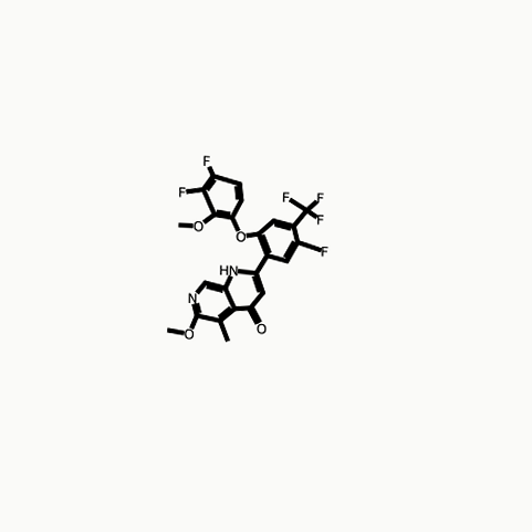 COc1ncc2[nH]c(-c3cc(F)c(C(F)(F)F)cc3Oc3ccc(F)c(F)c3OC)cc(=O)c2c1C